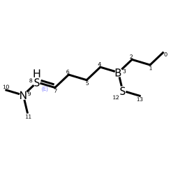 CCCB(CCC/C=[SH]/N(C)C)SC